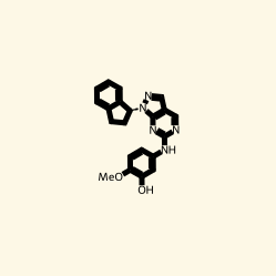 COc1ccc(Nc2ncc3cnn([C@@H]4CCc5ccccc54)c3n2)cc1O